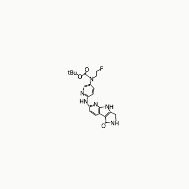 CC(C)(C)OC(=O)N(CCF)c1ccc(Nc2ccc3c4c([nH]c3n2)CCNC4=O)nc1